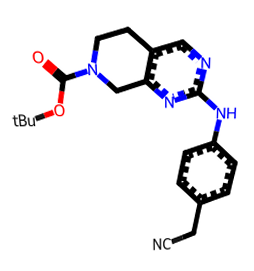 CC(C)(C)OC(=O)N1CCc2cnc(Nc3ccc(CC#N)cc3)nc2C1